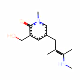 CN/C(C)=C(\C)Cc1cc(CO)c(=O)n(C)c1